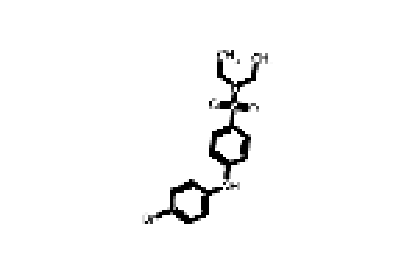 CCN(CC)S(=O)(=O)c1ccc(Nc2ccc(Br)cc2)cc1